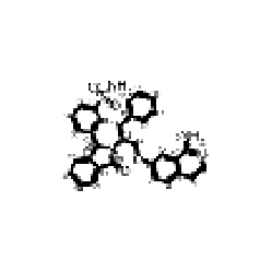 Nc1nccc2ccc(OCC(Cc3ccccc3)N3C(=O)c4ccccc4C3c3cccc(S(N)(=O)=O)c3)cc12